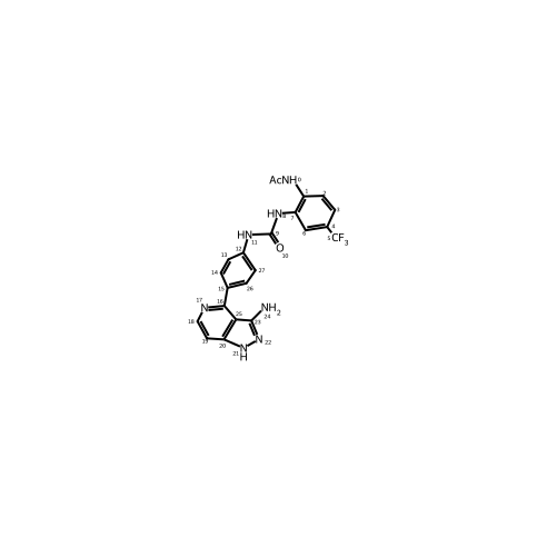 CC(=O)Nc1ccc(C(F)(F)F)cc1NC(=O)Nc1ccc(-c2nccc3[nH]nc(N)c23)cc1